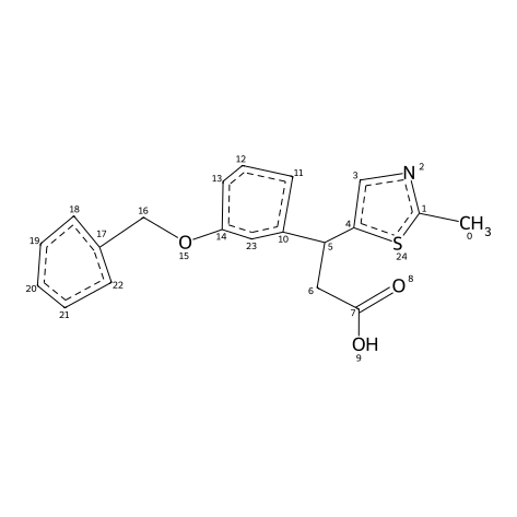 Cc1ncc(C(CC(=O)O)c2cccc(OCc3ccccc3)c2)s1